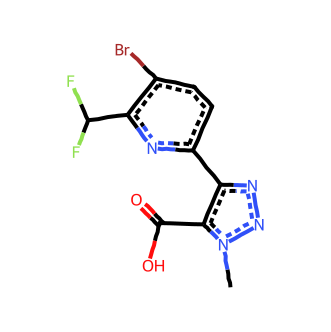 Cn1nnc(-c2ccc(Br)c(C(F)F)n2)c1C(=O)O